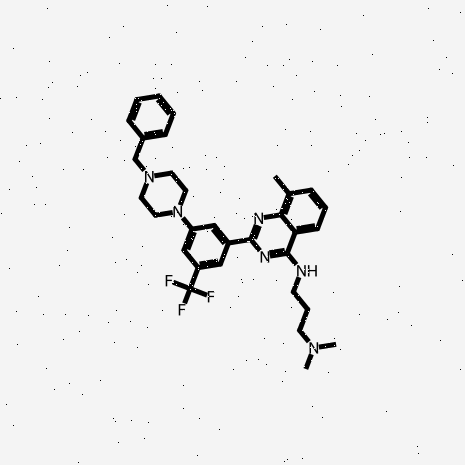 Cc1cccc2c(NCCCN(C)C)nc(-c3cc(N4CCN(Cc5ccccc5)CC4)cc(C(F)(F)F)c3)nc12